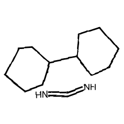 C1CCC(C2CCCCC2)CC1.N=C=N